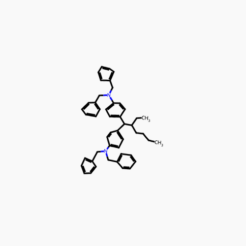 CCCCC(CC)C(c1ccc(N(Cc2ccccc2)Cc2ccccc2)cc1)c1ccc(N(Cc2ccccc2)Cc2ccccc2)cc1